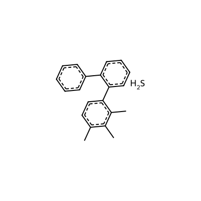 Cc1ccc(-c2ccccc2-c2ccccc2)c(C)c1C.S